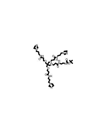 CC(C)(C)OC(=O)NCCNC(=O)CCOCC(COCCC(=O)NCCCn1ccnc1)(COCCC(=O)NCCCn1ccnc1)COCCC(=O)NCCCn1ccnc1